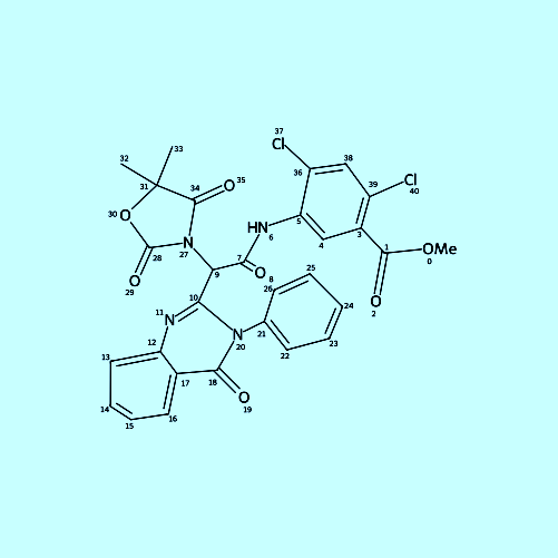 COC(=O)c1cc(NC(=O)C(c2nc3ccccc3c(=O)n2-c2ccccc2)N2C(=O)OC(C)(C)C2=O)c(Cl)cc1Cl